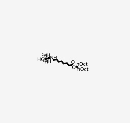 [2H]C([2H])(O)C([2H])([2H])NCCCCCCCC(=O)OC(CCCCCCCC)CCCCCCCC